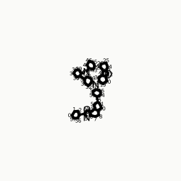 c1ccc(-c2nc3ccc4ccc(-c5ccc(N(c6ccc7oc8ccccc8c7c6)c6ccc7c8ccccc8n(-c8ccccc8)c7c6)cc5)cc4c3o2)cc1